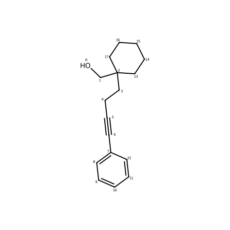 OCC1(CCC#Cc2ccccc2)CCCCC1